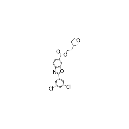 O=C(OCCC1CCOC1)c1ccc2nc(-c3cc(Cl)cc(Cl)c3)oc2c1